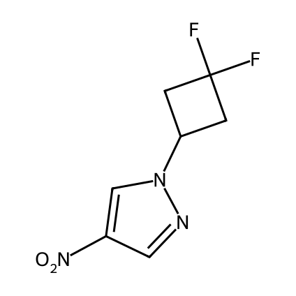 O=[N+]([O-])c1cnn(C2CC(F)(F)C2)c1